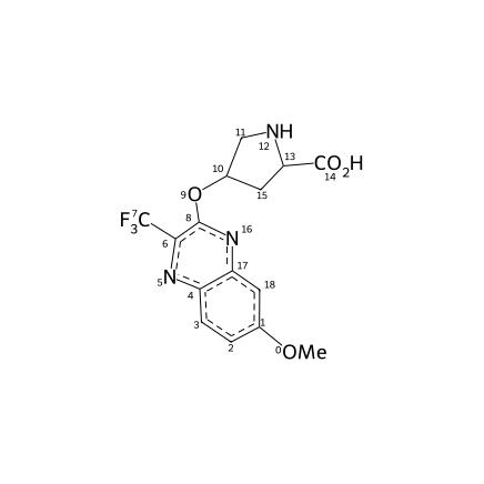 COc1ccc2nc(C(F)(F)F)c(OC3CNC(C(=O)O)C3)nc2c1